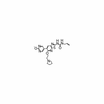 C=CCNC(=O)Nc1nc2cc(-c3cnc(OC)nc3)c(OCCN3CCCC3)nc2s1